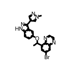 CC(Oc1ccc2[nH]nc(-c3cnn(C)c3)c2c1)c1cc(Br)cc2nccnc12